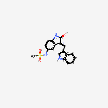 CS(=O)(=O)Nc1ccc2c(c1)/C(=C\c1c[nH]c3ccccc13)C(=O)N2